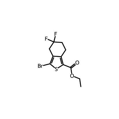 CCOC(=O)c1sc(Br)c2c1CCC(F)(F)C2